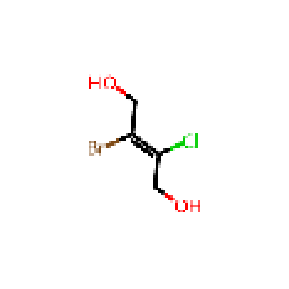 OC/C(Cl)=C(\Br)CO